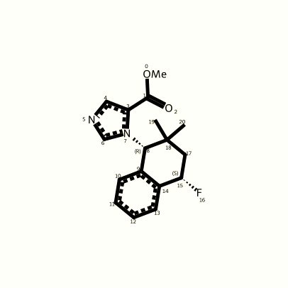 COC(=O)c1cncn1[C@H]1c2ccccc2[C@@H](F)CC1(C)C